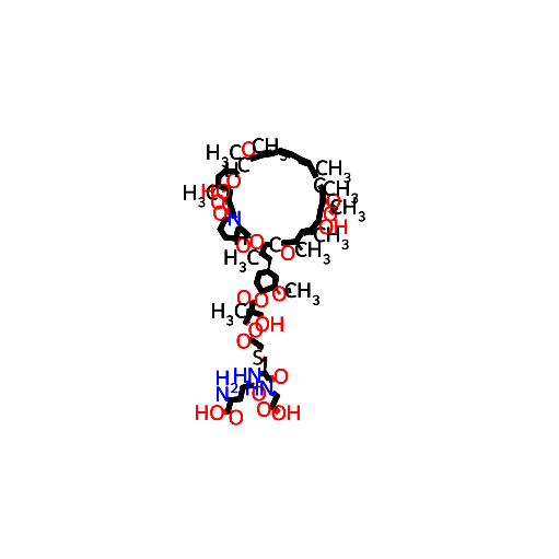 CO[C@H]1C[C@@H]2CC[C@@H](C)[C@@](O)(O2)C(=O)C(=O)N2CCCC[C@H]2C(=O)OC([C@H](C)C[C@@H]2CC[C@@H](OC(=O)C(C)(CO)COC(=O)CSC[C@H](NC(=O)CC[C@H](N)C(=O)O)C(=O)NCC(=O)O)[C@H](OC)C2)CC(=O)[C@H](C)/C=C(\C)[C@@H](O)[C@@H](OC)C(=O)[C@H](C)C[C@@H](C)\C=C/C=C/C=C/1C